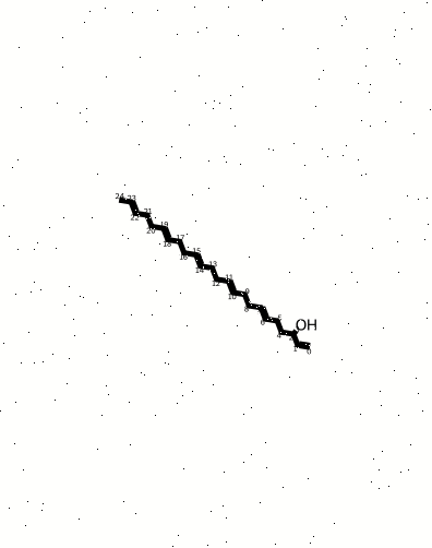 C=CC(O)CCC=CCCC=CCCC=CCCC=CCCC=CC